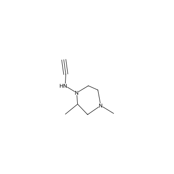 C#CNN1CCN(C)CC1C